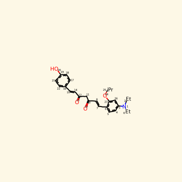 CCN(CC)c1ccc(C=CC(=O)CC(=O)C=Cc2ccc(O)cc2)c(OC(C)C)c1